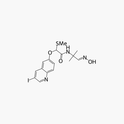 CSC(Oc1ccc2ncc(I)cc2c1)C(=O)NC(C)(C)/C=N/O